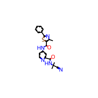 Cc1nc(-c2ccccc2)sc1C(=O)Nc1ccnc(C(=O)NC(C)(C)C#N)c1